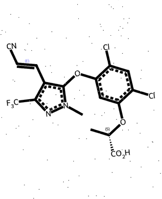 C[C@H](Oc1cc(Oc2c(/C=C/C#N)c(C(F)(F)F)nn2C)c(Cl)cc1Cl)C(=O)O